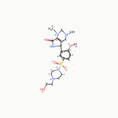 CCCN1CC2=C(C(=O)NC2c2cc(S(=O)(=O)N3CCN(CCO)CC3)ccc2OCC)N(C)C1